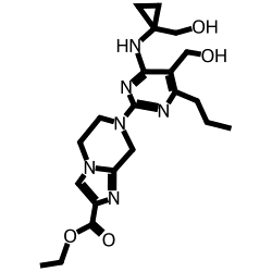 CCCc1nc(N2CCn3cc(C(=O)OCC)nc3C2)nc(NC2(CO)CC2)c1CO